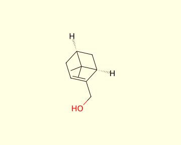 CC1(C)[C@H]2CC=C(CO)[C@@H]1C2